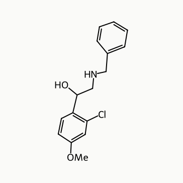 COc1ccc(C(O)CNCc2ccccc2)c(Cl)c1